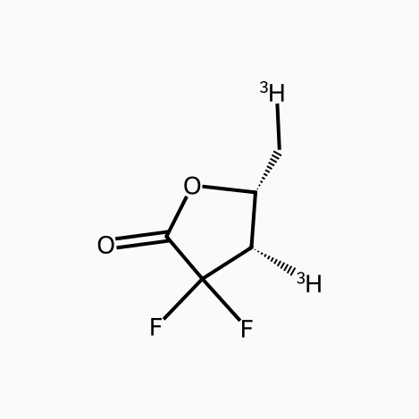 [3H]C[C@H]1OC(=O)C(F)(F)[C@H]1[3H]